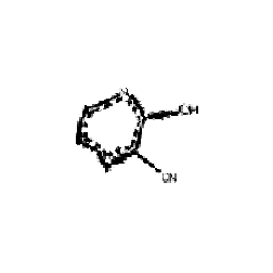 N#Cc1[c]ccnc1O